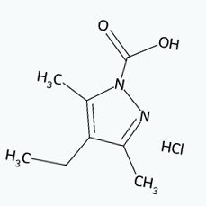 CCc1c(C)nn(C(=O)O)c1C.Cl